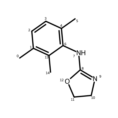 Cc1ccc(C)c(NC2=NCCO2)c1C